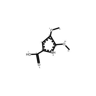 COc1cc(C(=O)O)[nH]c1OC